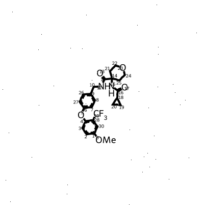 COc1ccc(Oc2ccc(CNC(=O)C3(NC(=O)C4CC4)CCOCC3)cc2)c(C(F)(F)F)c1